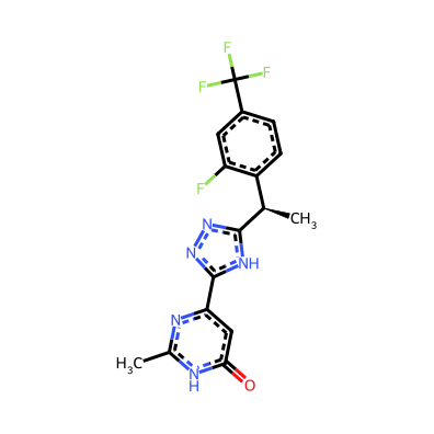 Cc1nc(-c2nnc([C@H](C)c3ccc(C(F)(F)F)cc3F)[nH]2)cc(=O)[nH]1